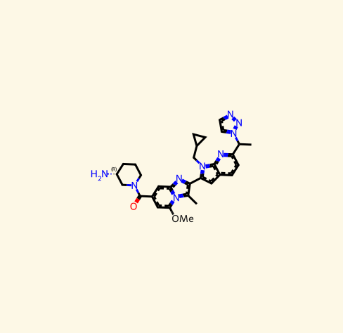 COc1cc(C(=O)N2CCC[C@@H](N)C2)cc2nc(-c3cc4ccc(C(C)n5ccnn5)nc4n3CC3CC3)c(C)n12